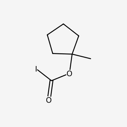 CC1(OC(=O)I)CCCC1